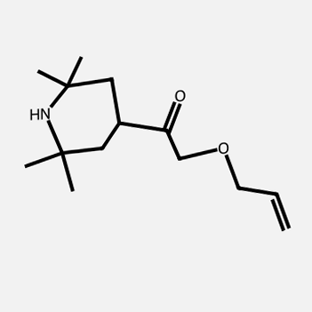 C=CCOCC(=O)C1CC(C)(C)NC(C)(C)C1